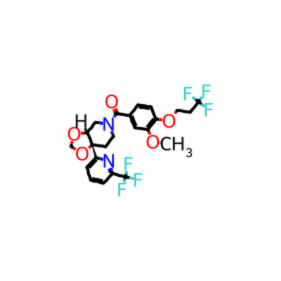 COc1cc(C(=O)N2CC[C@]3(c4cccc(C(F)(F)F)n4)OCO[C@@H]3C2)ccc1OCCC(F)(F)F